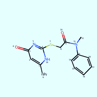 CCCc1cc(=O)nc(SCC(=O)N(C)c2ccccc2)[nH]1